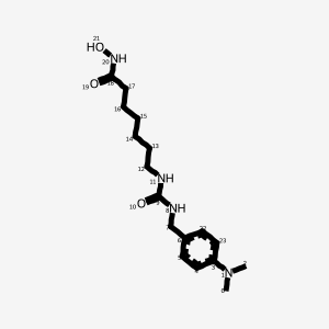 CN(C)c1ccc(CNC(=O)NCCCCCCC(=O)NO)cc1